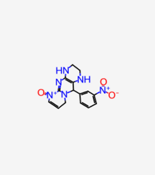 O=[N+]1C=CCN2C1=NC1=C(NCCN1)C2c1cccc([N+](=O)[O-])c1